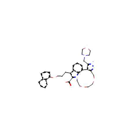 Cn1nc2c(c1CN1CCOCC1)-c1cccc3c(CCCOc4cccc5ccccc45)c(C(=O)O)n(c13)CCOCCOC2